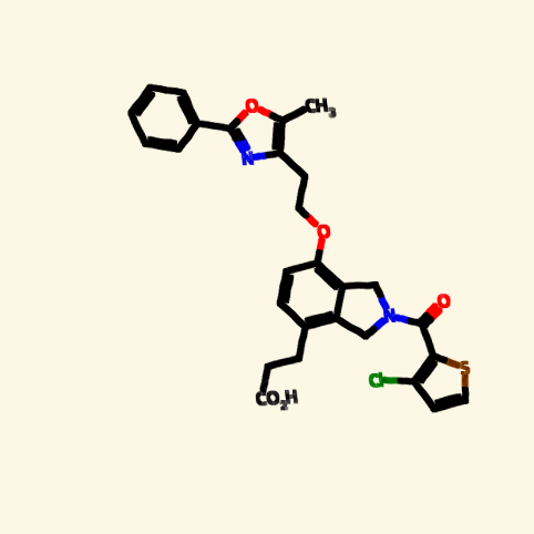 Cc1oc(-c2ccccc2)nc1CCOc1ccc(CCC(=O)O)c2c1CN(C(=O)c1sccc1Cl)C2